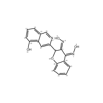 ON=C1C(=NO)C(c2cc3c(O)cccc3cn2)Oc2ccccc21